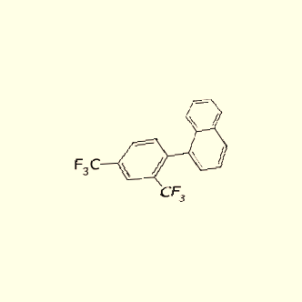 FC(F)(F)c1ccc(-c2cccc3ccccc23)c(C(F)(F)F)c1